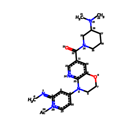 C/N=c1/cc(N2CCOc3cc(C(=O)N4CCCC(N(C)C)C4)cnc32)ccn1C(C)=O